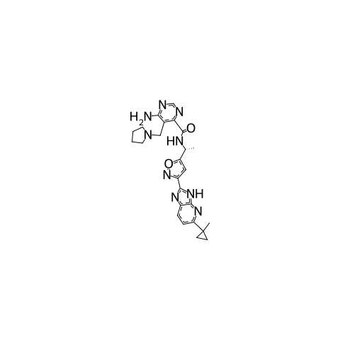 C[C@@H](NC(=O)c1ncnc(N)c1CN1CCCC1)c1cc(-c2nc3ccc(C4(C)CC4)nc3[nH]2)no1